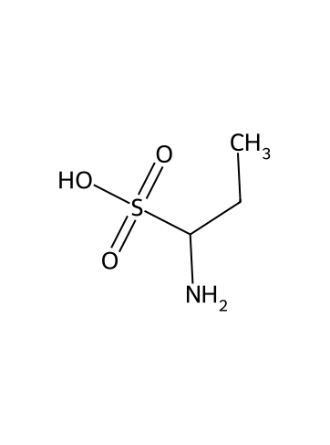 CCC(N)S(=O)(=O)O